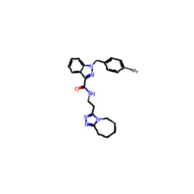 CC(C)c1ccc(Cn2nc(C(=O)NCCc3nnc4n3CCCCC4)c3ccccc32)cc1